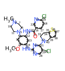 COc1cc(N2CCN(C)CC2)c(NC(=O)c2ccc(Cl)nc2)cc1Nc1ncc(Cl)c(N2CCc3sccc3C2)n1